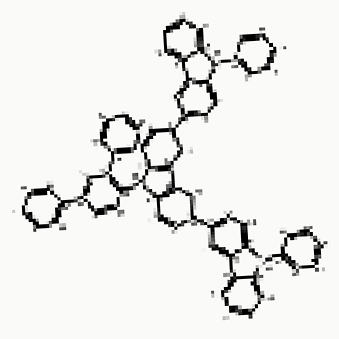 C1=CC(c2ccc3c(c2)c2ccccc2n3-c2ccccc2)Cc2c1n(-c1ccc(-c3ccccc3)cc1-c1ccccc1)c1ccc(-c3ccc4c(c3)c3ccccc3n4-c3ccccc3)cc21